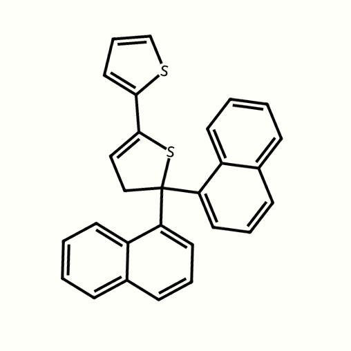 C1=C(c2cccs2)SC(c2cccc3ccccc23)(c2cccc3ccccc23)C1